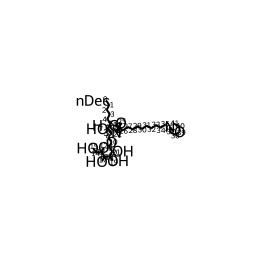 CCCCCCCCCCCCCCC[C@@H](O)[C@H](COC1OC(CO)C(O)C(O)C1O)N=S(C)(=O)CCCCCCCCCCN1CCOCC1